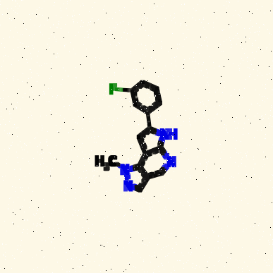 Cn1ncc2cnc3[nH]c(-c4cccc(F)c4)cc3c21